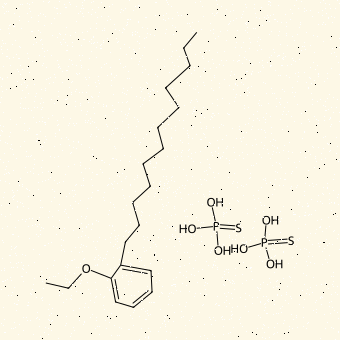 CCCCCCCCCCCCc1ccccc1OCC.OP(O)(O)=S.OP(O)(O)=S